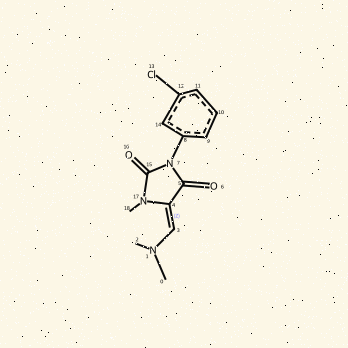 CN(C)/C=C1/C(=O)N(c2cccc(Cl)c2)C(=O)N1C